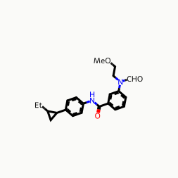 CCC1CC1c1ccc(NC(=O)c2cccc(N(C=O)CCOC)c2)cc1